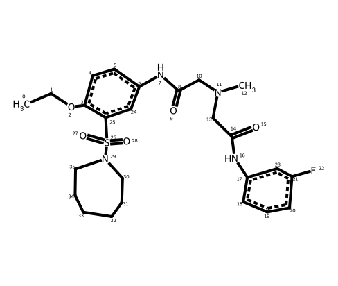 CCOc1ccc(NC(=O)CN(C)CC(=O)Nc2cccc(F)c2)cc1S(=O)(=O)N1CCCCCC1